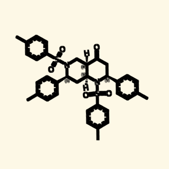 Cc1ccc([C@@H]2C[C@H]3[C@@H](CN2S(=O)(=O)c2ccc(C)cc2)C(=O)C[C@@H](c2ccc(C)cc2)N3S(=O)(=O)c2ccc(C)cc2)cc1